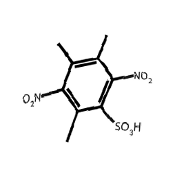 Cc1c(C)c([N+](=O)[O-])c(S(=O)(=O)O)c(C)c1[N+](=O)[O-]